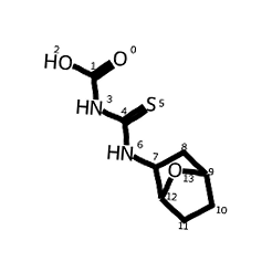 O=C(O)NC(=S)NC1CC2CCC1O2